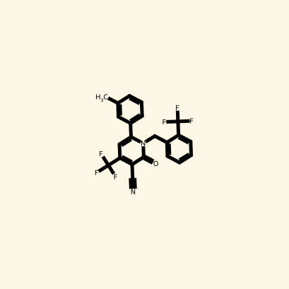 Cc1cccc(-c2cc(C(F)(F)F)c(C#N)c(=O)n2Cc2ccccc2C(F)(F)F)c1